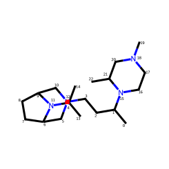 CC(CCN1CC2CCC(C1)N2C(C)C)N1CCN(C)CC1C